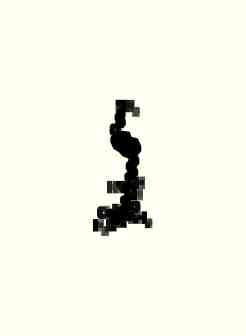 N=C(NCCCCc1ccc2cc(OCCCN)ccc2c1)NCC(=O)c1nc(Cl)c(N)nc1N